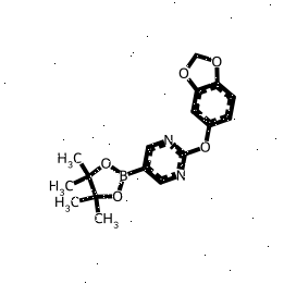 CC1(C)OB(c2cnc(Oc3ccc4c(c3)OCO4)nc2)OC1(C)C